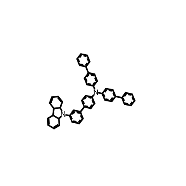 C1=CC2C3C=CC=CC3N(c3cccc(-c4ccc(N(c5ccc(-c6ccccc6)cc5)c5ccc(-c6ccccc6)cc5)cc4)c3)C2C=C1